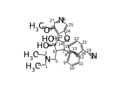 CCN(CC)CC1C(c2ccccc2)[C@]2(c3ccc(C#N)cc3)Oc3cncc(OC)c3[C@]2(O)[C@@H]1O